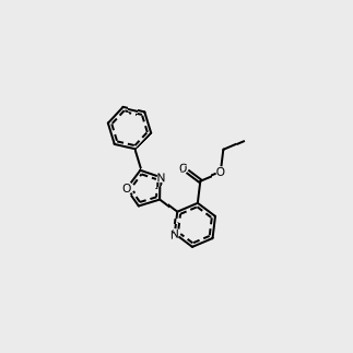 CCOC(=O)c1cccnc1-c1coc(-c2ccccc2)n1